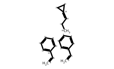 C=Cc1ccccc1.C=Cc1ccccc1.CCC=C1CC1